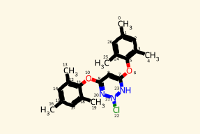 Cc1cc(C)c(OC2=CC(Oc3c(C)cc(C)cc3C)=NN(Cl)N2)c(C)c1